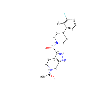 CCc1c(F)cccc1C1CCN(C(=O)c2n[nH]c3c2CCN(C(=O)NC)C3)CC1